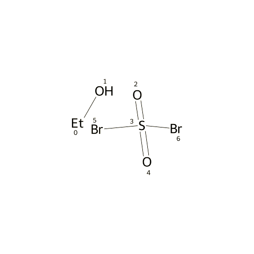 CCO.O=S(=O)(Br)Br